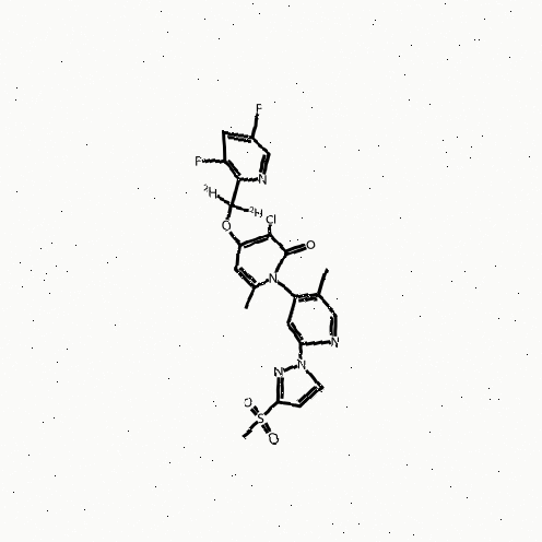 [2H]C([2H])(Oc1cc(C)n(-c2cc(-n3ccc(S(C)(=O)=O)n3)ncc2C)c(=O)c1Cl)c1ncc(F)cc1F